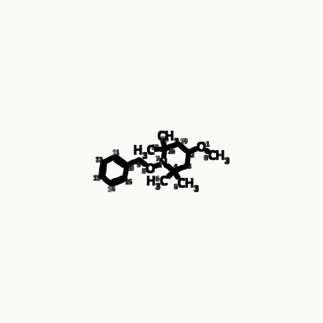 COC1CC(C)(C)N(OCc2ccccc2)C(C)(C)C1